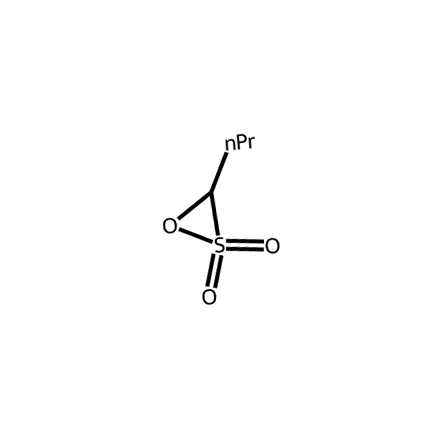 CCCC1OS1(=O)=O